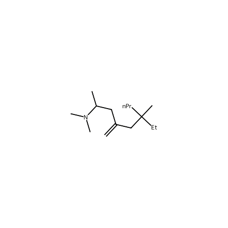 C=C(CC(C)N(C)C)CC(C)(CC)CCC